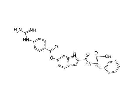 N=C(N)Nc1ccc(C(=O)Oc2ccc3cc(C(=O)N[C@@H](Cc4ccccc4)C(=O)O)[nH]c3c2)cc1